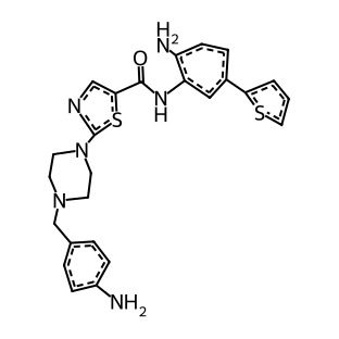 Nc1ccc(CN2CCN(c3ncc(C(=O)Nc4cc(-c5cccs5)ccc4N)s3)CC2)cc1